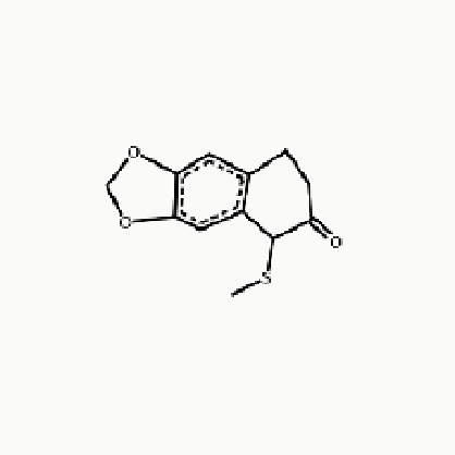 CSC1C(=O)CCc2cc3c(cc21)OCO3